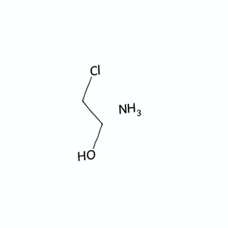 N.OCCCl